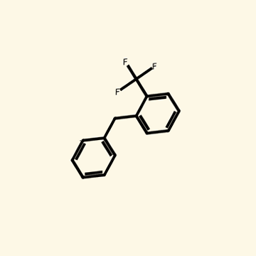 FC(F)(F)c1ccccc1Cc1[c]cccc1